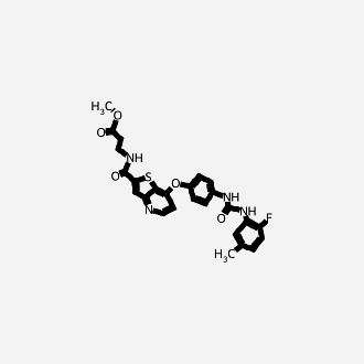 COC(=O)CCNC(=O)c1cc2nccc(Oc3ccc(NC(=O)Nc4cc(C)ccc4F)cc3)c2s1